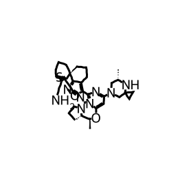 C[C@H](Oc1cc(N2C[C@H](C)NC3(CC3)C2)nc(-c2onc3c2CCC[C@@]32CCCc3sc(N)c(C#N)c32)n1)[C@@H]1CCCN1C